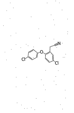 N#CCc1cc(Cl)ccc1Oc1ccc(Cl)cc1